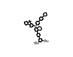 CC(C)(C)c1cc(-c2ccc(-c3ccc(N(c4ccc(-c5ccc(C6CCCCC6)cc5)cc4)c4ccc5c(c4)C(C)(C)c4ccccc4-5)c4c3CCCC4)cc2)cc(C(C)(C)C)c1